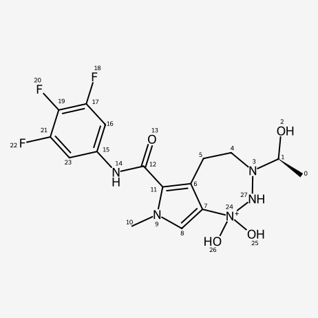 C[C@H](O)N1CCc2c(cn(C)c2C(=O)Nc2cc(F)c(F)c(F)c2)[N+](O)(O)N1